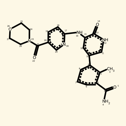 Cc1c(C(N)=O)cccc1-c1c[nH]c(=O)c(Nc2ccc(C(=O)N3CCOCC3)cn2)c1